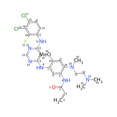 C=CC(=O)Nc1cc(Nc2cc(Nc3ccc(Cl)c(Cl)c3F)ncn2)c(OC)cc1N(C)CCN(C)C